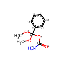 COC(OC)(OC(N)=O)c1ccccc1